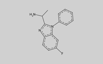 CC(N)c1nc2ccc(F)cc2n1-c1ccccc1